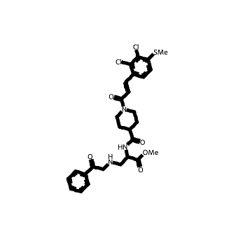 COC(=O)C(CNCC(=O)c1ccccc1)NC(=O)C1CCN(C(=O)C=Cc2ccc(SC)c(Cl)c2Cl)CC1